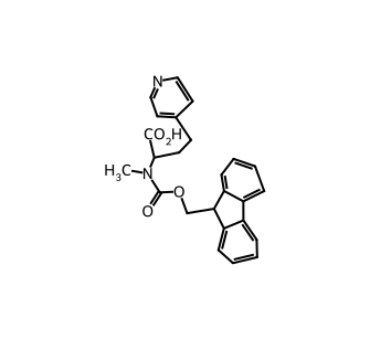 CN(C(=O)OCC1c2ccccc2-c2ccccc21)C(CCc1ccncc1)C(=O)O